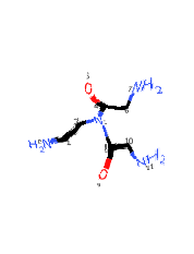 NCCN(C(=O)CN)C(=O)CN